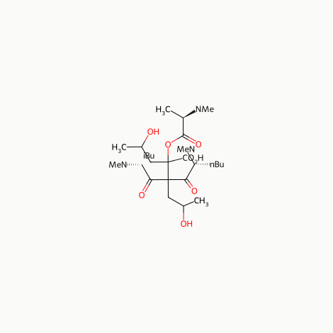 CCCC[C@@H](NC)C(=O)C(CC(C)O)(C(=O)[C@H](NC)[C@H](C)CC)C(CC(C)O)(OC(=O)[C@@H](C)NC)C(=O)O